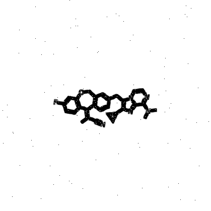 CC(C#N)=C1c2ccc(Cc3c(C4CC4)nc4c(N(C)C)nccn34)cc2COc2cc(F)ccc21